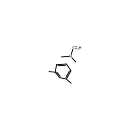 CN(C)C(=O)O.Cc1cccc(C)c1